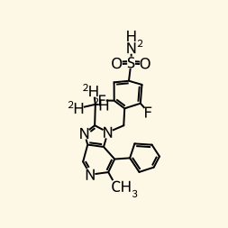 [2H]C([2H])([2H])c1nc2cnc(C)c(-c3ccccc3)c2n1Cc1c(F)cc(S(N)(=O)=O)cc1F